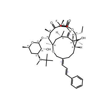 CC[C@H]1OC(=O)[C@@](C)(F)C(=O)[C@H](C)[C@@H](O[C@@H]2O[C@H](C)C[C@H](N(C)C(C)(C)C)[C@H]2O)[C@@]2(C)C[C@@H](C)/C(=N\C(C)=O)[C@H](C)[C@@H](CC/C(=C\C=C\c3ccccc3)CO2)[C@]1(C)O